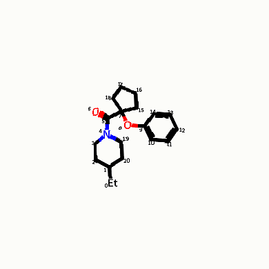 CCC1CCN(C(=O)C2(Oc3ccccc3)CCCC2)CC1